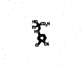 CC[C@](O)(CNc1ccc(C#N)c(Cl)c1)C(=O)O